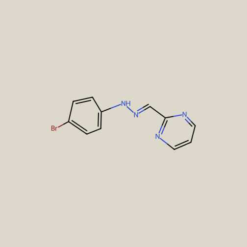 Brc1ccc(N/N=C/c2ncccn2)cc1